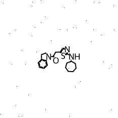 O=C(Cc1cnc(NC2CCCCCC2)s1)N1CCc2ccccc21